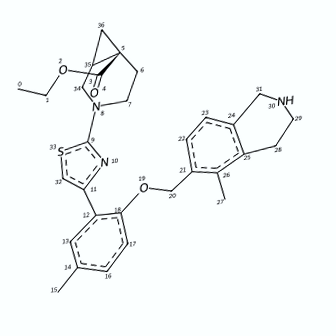 CCOC(=O)[C@@]12CCN(c3nc(-c4cc(C)ccc4OCc4ccc5c(c4C)CCNC5)cs3)CC1C2